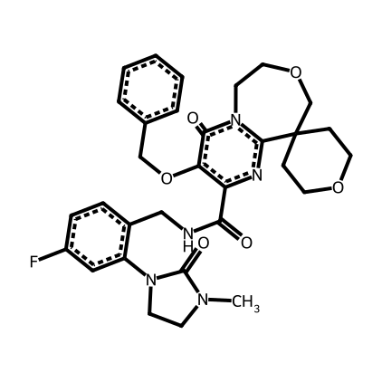 CN1CCN(c2cc(F)ccc2CNC(=O)c2nc3n(c(=O)c2OCc2ccccc2)CCOCC32CCOCC2)C1=O